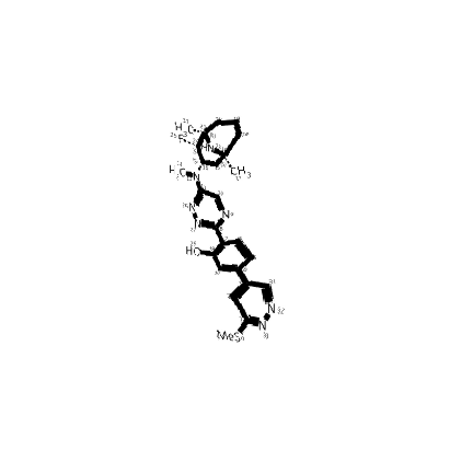 CSc1cc(-c2ccc(-c3ncc(N(C)[C@H]4C[C@]5(C)CCC[C@@](C)(N5)[C@H]4F)nn3)c(O)c2)cnn1